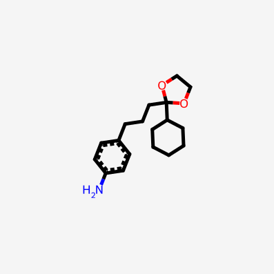 Nc1ccc(CCCC2(C3CCCCC3)OCCO2)cc1